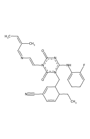 C\C=C(C)/C=N\C=C\n1c(=O)nc(NC2=CCCC=C2F)n(CC2C=C(C#N)C=CC2CC)c1=O